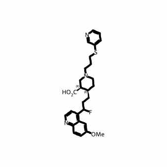 COc1ccc2nccc(C(F)CC[C@@H]3CCN(CCCSc4cccnc4)C[C@@H]3C(=O)O)c2c1